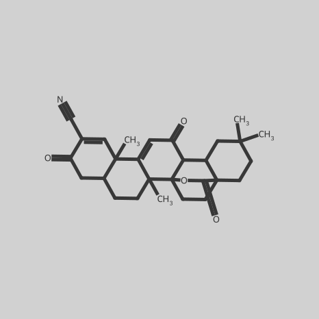 CC1(C)CCC23CCC4(OC2=O)C(C(=O)C=C2C5(C)C=C(C#N)C(=O)CC5CCC24C)C3C1